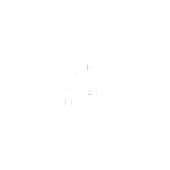 CCO[CH]([AlH2])OCC